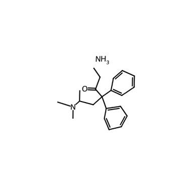 CCC(=O)C(CC(C)N(C)C)(c1ccccc1)c1ccccc1.N